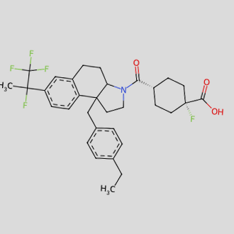 CCc1ccc(CC23CCN(C(=O)[C@H]4CC[C@](F)(C(=O)O)CC4)C2CCc2cc(C(C)(F)C(F)(F)F)ccc23)cc1